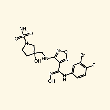 NS(=O)(=O)N1CC[C@](O)(CNc2nonc2/C(=N/O)Nc2ccc(F)c(Br)c2)C1